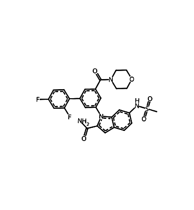 CS(=O)(=O)Nc1ccc2cc(C(N)=O)n(-c3cc(C(=O)N4CCOCC4)cc(-c4ccc(F)cc4F)c3)c2c1